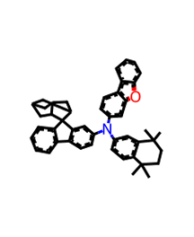 CC1(C)CCC(C)(C)c2cc(N(c3ccc4c(c3)C3(c5ccccc5-4)C4CC5CC(C4)C3C5)c3ccc4c(c3)oc3ccccc34)ccc21